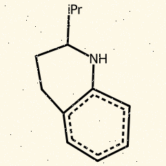 CC(C)C1CCc2ccccc2N1